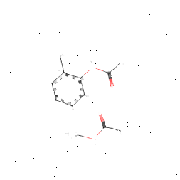 CC(=O)O[SiH3].CC(=O)Oc1ccccc1C